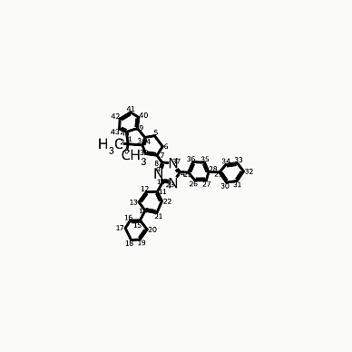 CC1(C)C2=C(CCC(c3nc(-c4ccc(C5=CCCC=C5)cc4)nc(-c4ccc(-c5ccccc5)cc4)n3)=C2)c2ccccc21